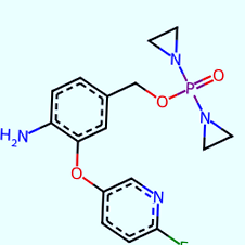 Nc1ccc(COP(=O)(N2CC2)N2CC2)cc1Oc1ccc(F)nc1